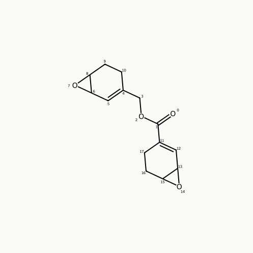 O=C(OCC1=CC2OC2CC1)C1=CC2OC2CC1